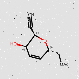 C#C[C@H]1O[C@H](COC(C)=O)C=C[C@H]1O